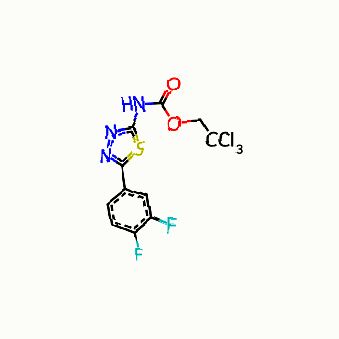 O=C(Nc1nnc(-c2ccc(F)c(F)c2)s1)OCC(Cl)(Cl)Cl